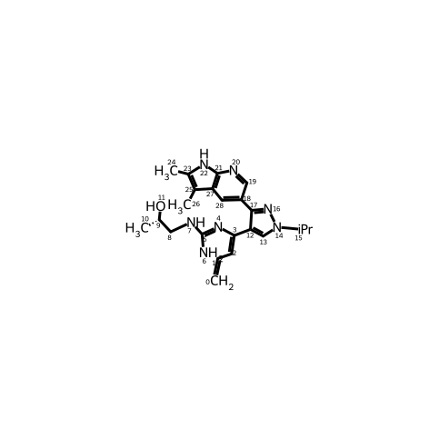 C=C/C=C(\N=C(/N)NC[C@H](C)O)c1cn(C(C)C)nc1-c1cnc2[nH]c(C)c(C)c2c1